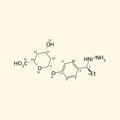 CC[C@H](NN)c1ccc(O[C@H]2C[C@@H](O)C[C@@H](C(=O)O)O2)cc1